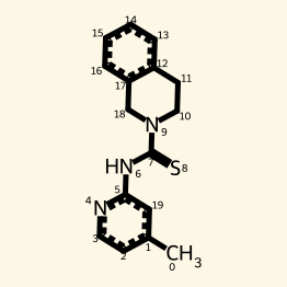 Cc1ccnc(NC(=S)N2CCc3ccccc3C2)c1